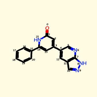 O=c1cc(-c2cnc3[nH]ncc3c2)cc(-c2ccccc2)[nH]1